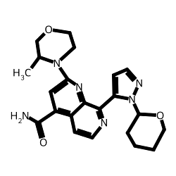 CC1COCCN1c1cc(C(N)=O)c2ccnc(-c3ccnn3C3CCCCO3)c2n1